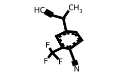 C#C[C](C)c1ccc(C#N)c(C(F)(F)F)c1